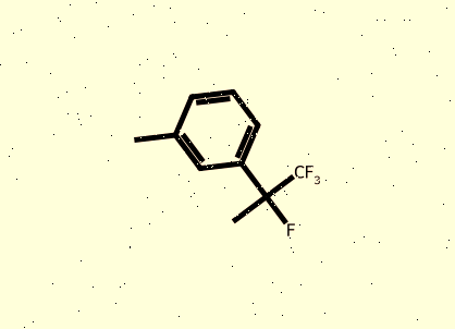 Cc1cccc(C(C)(F)C(F)(F)F)c1